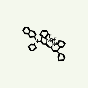 F[B-]1(F)N2C(=Cc3cc(-c4ccccc4)c4ccccc4[n+]31)C=C(N(c1ccccc1)c1ccc3ccccc3c1)c1ccccc12